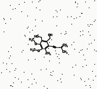 C=C(C)C#Cc1c(C)c(OC)c(OC)c(CO)c1CO